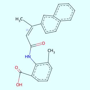 C/C(=C/C(=O)Nc1c(C)cccc1C(=O)O)c1ccc2ccccc2c1